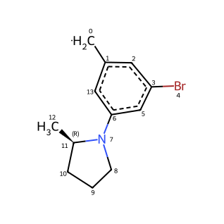 [CH2]c1cc(Br)cc(N2CCC[C@H]2C)c1